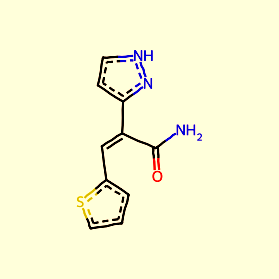 NC(=O)C(=Cc1cccs1)c1cc[nH]n1